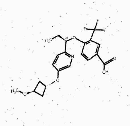 CC[C@@H](Oc1ccc(C(=O)O)cc1C(F)(F)F)c1ccc(O[C@H]2C[C@H](OC)C2)cn1